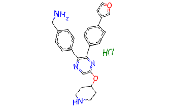 Cl.NCc1ccc(-c2ncc(OC3CCNCC3)nc2-c2ccc(-c3ccoc3)cc2)cc1